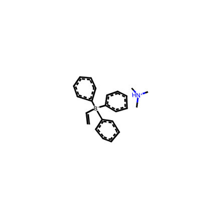 C=C[B-](c1ccccc1)(c1ccccc1)c1ccccc1.C[NH+](C)C